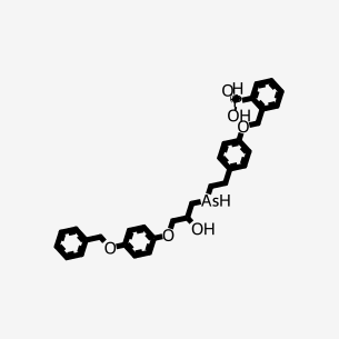 O=[P@@H](O)c1ccccc1COc1ccc(CC[AsH]CC(O)COc2ccc(OCc3ccccc3)cc2)cc1